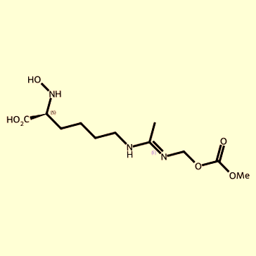 COC(=O)OC/N=C(\C)NCCCC[C@H](NO)C(=O)O